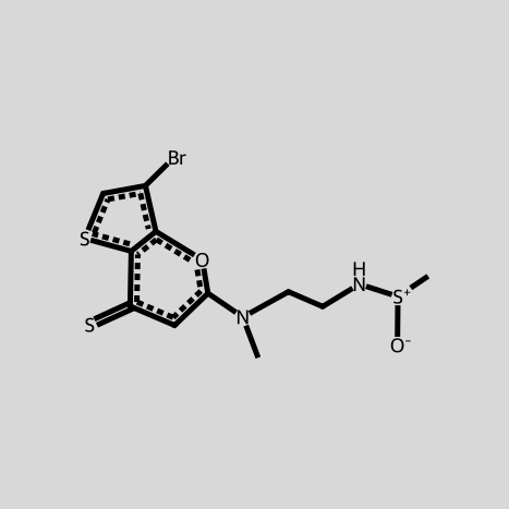 CN(CCN[S+](C)[O-])c1cc(=S)c2scc(Br)c2o1